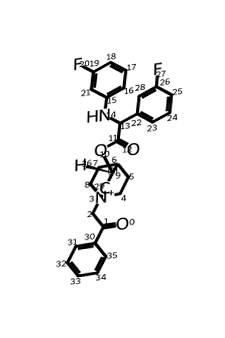 O=C(C[N+]12CCC(CC1)[C@@H](OC(=O)C(Nc1cccc(F)c1)c1cccc(F)c1)C2)c1ccccc1